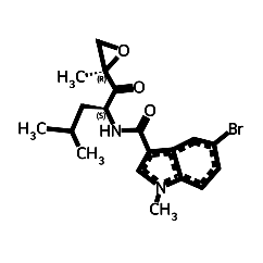 CC(C)C[C@H](NC(=O)c1cn(C)c2ccc(Br)cc12)C(=O)[C@@]1(C)CO1